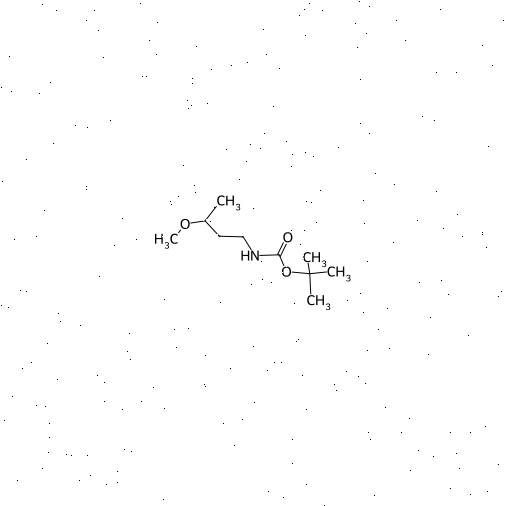 COC(C)CCNC(=O)OC(C)(C)C